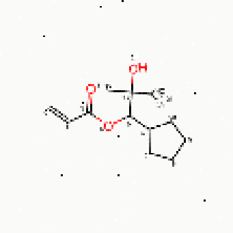 C=CC(=O)OC(C1CCCC1)C(C)(O)C(F)(F)F